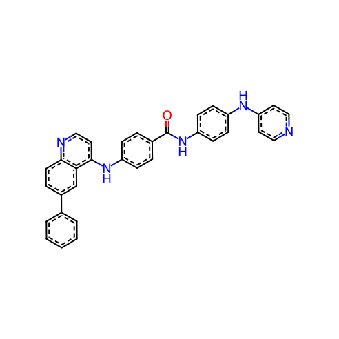 O=C(Nc1ccc(Nc2ccncc2)cc1)c1ccc(Nc2ccnc3ccc(-c4ccccc4)cc23)cc1